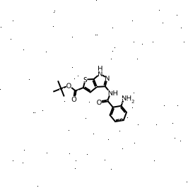 CC(C)(C)OC(=O)c1cc2c(NC(=O)c3ccccc3N)n[nH]c2s1